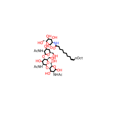 CCCCCCCC/C=C\CCCCCCCC(=O)N[C@H]1[C@H](O[C@H]2C(O)[C@@H](NC(C)=O)[C@H](O[C@H]3[C@H](O)[C@@H](NC(C)=O)[C@H](O[C@H]4C(O)[C@@H](NC(C)=O)C(O)O[C@@H]4CO)O[C@@H]3CO)O[C@@H]2CO)O[C@H](CO)[C@@H](O)[C@@H]1O